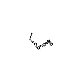 CN(C/C=C/C(=O)N[C@@H]1CCCN(Cc2ccnc(C(=O)Nc3ccc(-c4cc5c(N6CCOCC6)ncnc5[nH]4)cc3)c2)C1)CCCCN